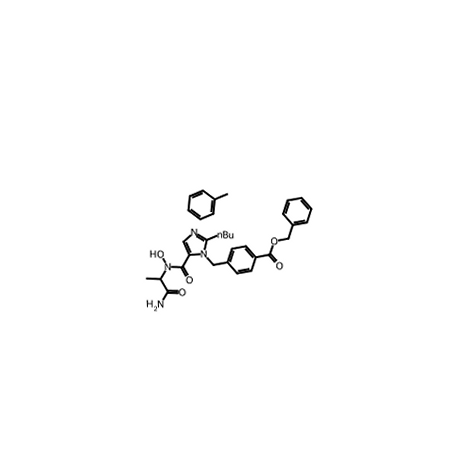 CCCCc1ncc(C(=O)N(O)C(C)C(N)=O)n1Cc1ccc(C(=O)OCc2ccccc2)cc1.Cc1ccccc1